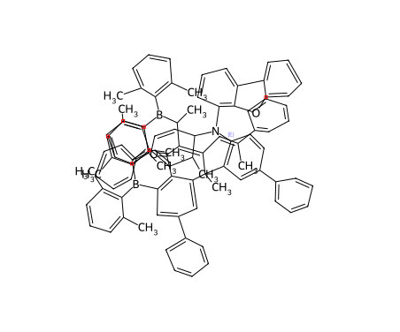 C/C(=C\C1=C(C(C)B(c2c(C)cccc2C)c2c(C)cccc2C)C(=O)c2c(B(c3c(C)cccc3C)c3c(C)cccc3C)cc(-c3ccccc3)cc2C1(C)c1cc(-c2ccccc2)ccc1N(c1cccc2c1oc1ccccc12)C1C=CC(c2ccccc2)=CC1C)c1ccccc1